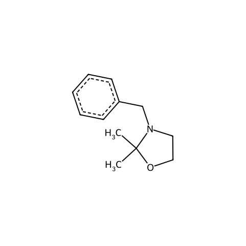 CC1(C)OCCN1Cc1ccccc1